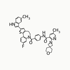 Cc1cnc(N2CC3(CCOCC3)C2)c(C(=O)Nc2ccc(C(=O)N3CCc4cc(-c5c[nH]c6ccc(C)cc56)sc4-c4ccc(F)cc43)cc2)c1